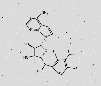 C[C@@]1(O)[C@@H]([C@H](O)c2ccc(F)c(C(F)F)c2F)O[C@@H](n2ccc3c(N)ncnc32)[C@@H]1O